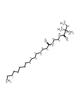 CCCCCCCCCCCCSCCC(=O)OCCOC(=O)C(C)(C)CC